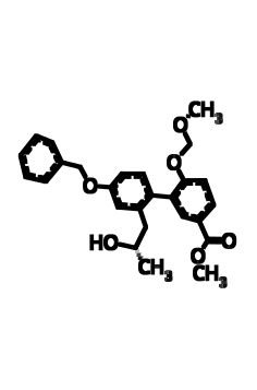 COCOc1ccc(C(=O)OC)cc1-c1ccc(OCc2ccccc2)cc1C[C@H](C)O